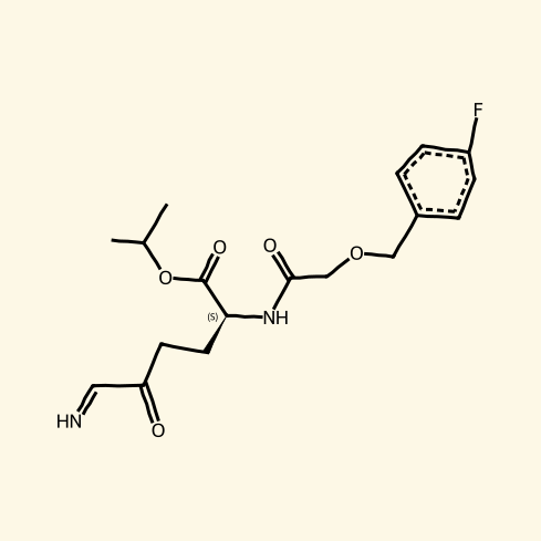 CC(C)OC(=O)[C@H](CCC(=O)C=N)NC(=O)COCc1ccc(F)cc1